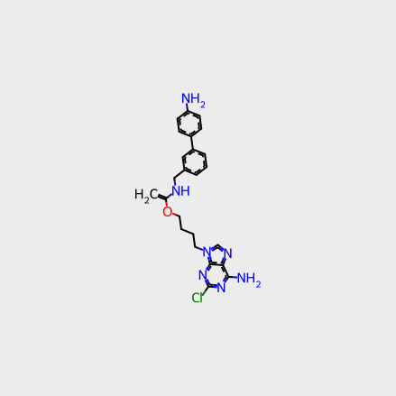 C=C(NCc1cccc(-c2ccc(N)cc2)c1)OCCCCn1cnc2c(N)nc(Cl)nc21